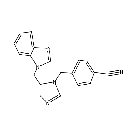 N#Cc1ccc(Cn2cncc2Cn2cnc3ccccc32)cc1